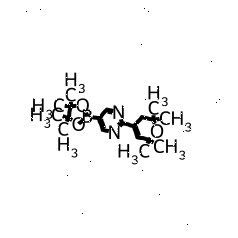 CC1(C)C=C(c2ncc(B3OC(C)(C)C(C)(C)O3)cn2)CC(C)(C)O1